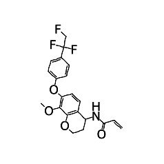 C=CC(=O)NC1CCOc2c1ccc(Oc1ccc(C(F)(F)CF)cc1)c2OC